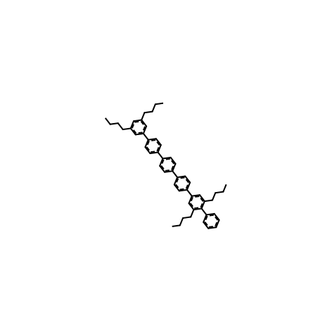 CCCCc1cc(CCCC)cc(-c2ccc(-c3ccc(-c4ccc(-c5cc(CCCC)c(-c6ccccc6)c(CCCC)c5)cc4)cc3)cc2)c1